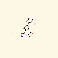 CCOC(=O)c1cnn([C@H]2CCOC2)c1-c1ccc(-c2c(C)cnc(OC(C)C)c2C)cc1[N+](=O)[O-]